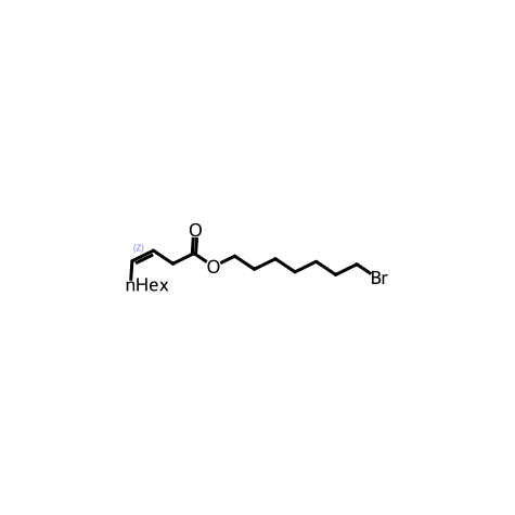 CCCCCC/C=C\CC(=O)OCCCCCCCBr